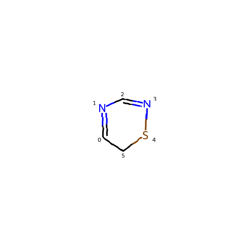 C1=NC=NSC1